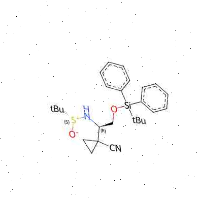 CC(C)(C)[S@@+]([O-])N[C@@H](CO[Si](c1ccccc1)(c1ccccc1)C(C)(C)C)C1(C#N)CC1